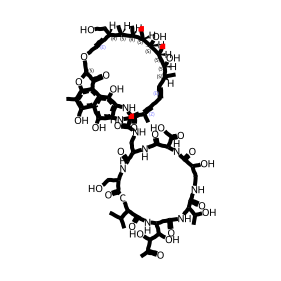 CC(=O)C(O)C(O)C1NC(=O)C(C(C)C)CC(=O)C(CO)NC(=O)C(CNC(=O)C(C)Nc2c3c(O)c4c(O)c(C)c5c(c4c2O)C(=O)[C@@](C)(O/C=C/[C@H](CO)[C@@H](C)[C@@H](C)[C@H](C)[C@H](O)[C@H](C)[C@@H](O)[C@@H](C)/C=C/C=C(/C)C(=O)N3)O5)NC(=O)C(C(=O)O)NC(=O)C(O)CNC(=O)C(C(C)O)NC1=O